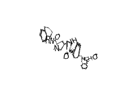 CN1CC(NC(=O)c2ccc(CN(C=O)Cc3ccccc3F)cc2)CC1C(=O)NC1CCCc2ccccc21